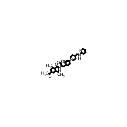 CCc1cc(C(C)=O)cc(C)c1C(=O)NC(Cc1ccc(N2CCC(CNc3ccccn3)CC2)cc1)C(=O)O